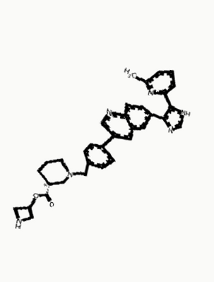 Cc1cccc(-c2[nH]cnc2-c2ccc3ncc(-c4ccc(CN5CCC[C@@H](C(=O)OC6CNC6)C5)cc4)cc3c2)n1